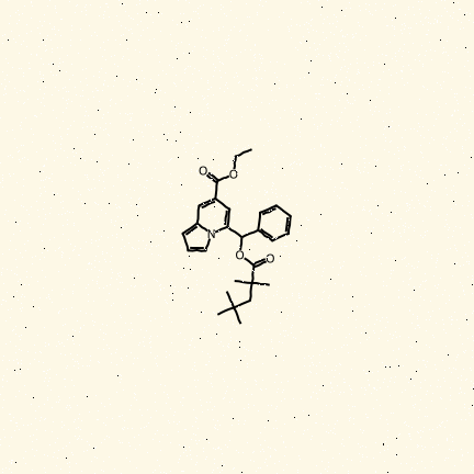 CCOC(=O)c1cc(C(OC(=O)C(C)(C)CC(C)(C)C)c2ccccc2)n2cccc2c1